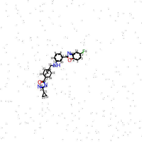 Fc1ccc2oc(-c3cccc(NCC45CCC(c6nc(C7CC7)no6)(CC4)CC5)c3)nc2c1